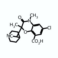 CN1C(=O)C(C)(C2CN3CCC2CC3)Oc2c(C(=O)O)cc(Cl)cc21